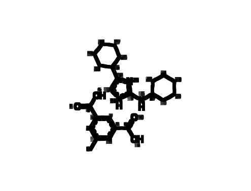 Cc1cc(C(=O)O)cc(C(=O)O)c1.c1[nH]c(NC2CCCCC2)nc1C1CCCCC1